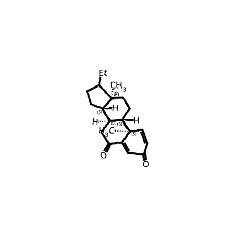 CC[C]1CC[C@H]2[C@@H]3CC(=O)C4=CC(=O)C=C[C@]4(C)[C@H]3CC[C@]12C